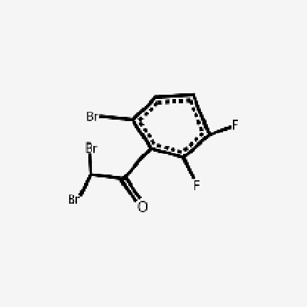 O=C(c1c(Br)ccc(F)c1F)C(Br)Br